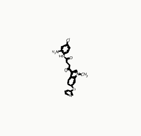 Cn1cc(C(=O)CCC(=O)Nc2ccc(Cl)cc2N)c2ccc(Oc3cccnc3)cc21